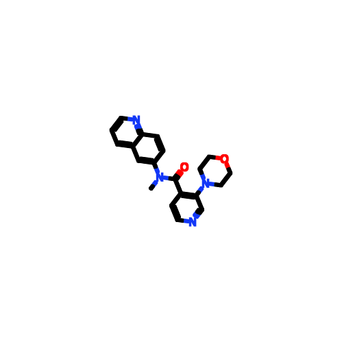 CN(C(=O)c1ccncc1N1CCOCC1)c1ccc2ncccc2c1